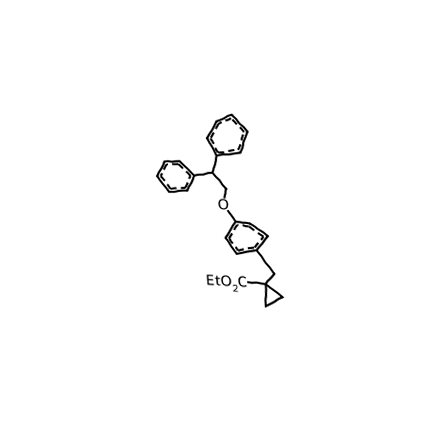 CCOC(=O)C1(Cc2ccc(OCC(c3ccccc3)c3ccccc3)cc2)CC1